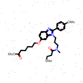 COC(=O)CCCCCOc1ccc2nc(-c3ccc(OC)cc3)n(CCCN(C)C(=O)CCSC)c2c1